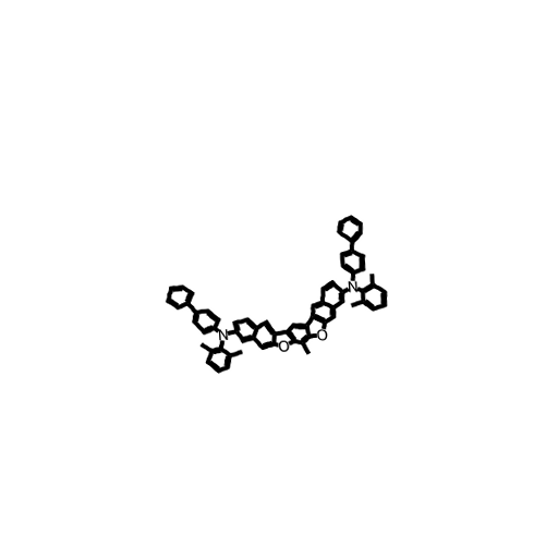 Cc1cccc(C)c1N(c1ccc(-c2ccccc2)cc1)c1ccc2cc3c(cc2c1)oc1c(C)c2oc4cc5cc(N(c6ccc(-c7ccccc7)cc6)c6c(C)cccc6C)ccc5cc4c2cc13